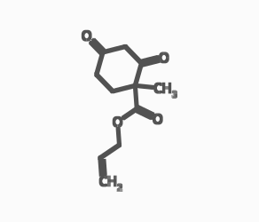 C=CCOC(=O)C1(C)CCC(=O)CC1=O